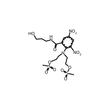 CS(=O)(=O)OCCN(CCOS(C)(=O)=O)c1c(C(=O)NCCCO)cc([N+](=O)[O-])cc1[N+](=O)[O-]